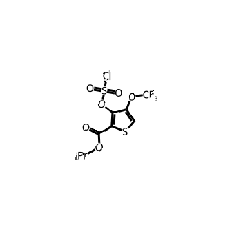 CC(C)OC(=O)c1scc(OC(F)(F)F)c1OS(=O)(=O)Cl